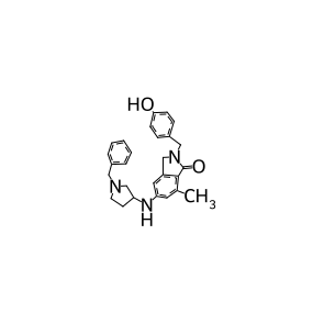 Cc1cc(NC2CCN(Cc3ccccc3)C2)cc2c1C(=O)N(Cc1ccc(O)cc1)C2